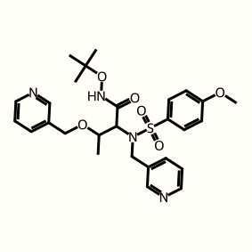 COc1ccc(S(=O)(=O)N(Cc2cccnc2)C(C(=O)NOC(C)(C)C)C(C)OCc2cccnc2)cc1